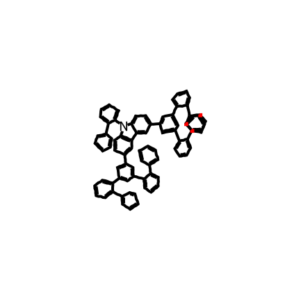 c1ccc(-c2ccccc2-c2cc(-c3ccc4c(c3)c3cc(-c5cc(-c6ccccc6-c6ccccc6)cc(-c6ccccc6-c6ccccc6)c5)ccc3n4-c3ccccc3-c3ccccc3)cc(-c3ccccc3-c3ccccc3)c2)cc1